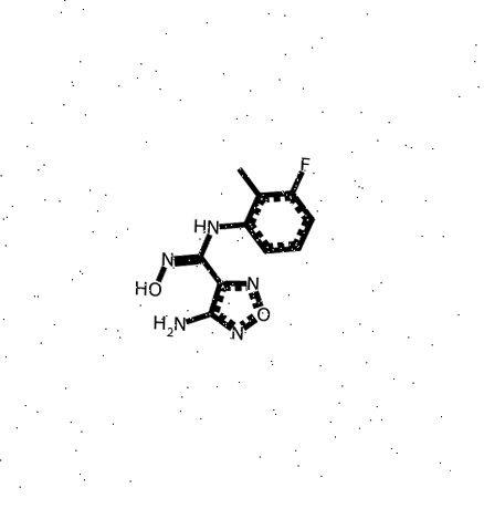 Cc1c(F)cccc1N/C(=N/O)c1nonc1N